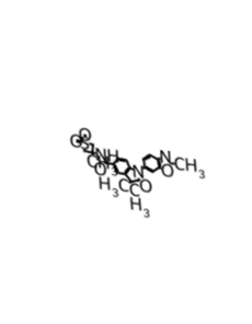 Cc1nc2ccc(N3C(=O)C(C)(C)c4cc(C(=O)NC5(C)CS(=O)(=O)C5)ccc43)cc2o1